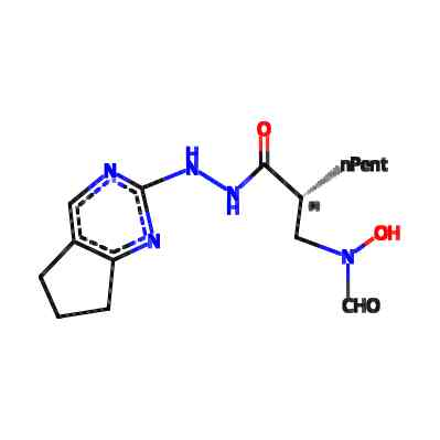 CCCCC[C@H](CN(O)C=O)C(=O)NNc1ncc2c(n1)CCC2